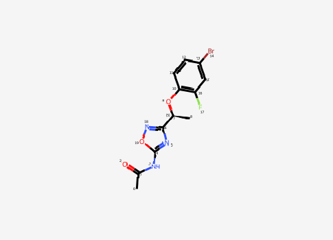 CC(=O)Nc1nc([C@H](C)Oc2ccc(Br)cc2F)no1